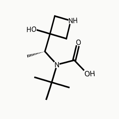 C[C@@H](N(C(=O)O)C(C)(C)C)C1(O)CNC1